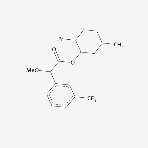 COC(C(=O)OC1CC(C)CCC1C(C)C)c1cccc(C(F)(F)F)c1